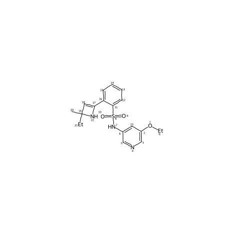 CCOc1cncc(NS(=O)(=O)c2ccccc2C2=CC(C)(CC)N2)c1